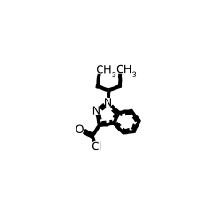 CCC(CC)n1nc(C(=O)Cl)c2ccccc21